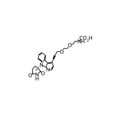 O=C(O)NCCOCCOCC#Cc1ccnc2c1c1ccccc1n2[C@H]1CCC(=O)NC1=O